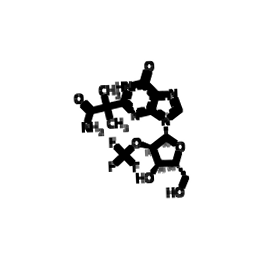 CC(C)(C(N)=O)c1nc2c(ncn2[C@@H]2O[C@H](CO)[C@@H](O)[C@H]2OC(F)(F)F)c(=O)[nH]1